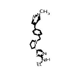 CCNc1ncc([C@@H]2CCCN2Cc2ccc(-c3cnn(C)c3)cc2)s1